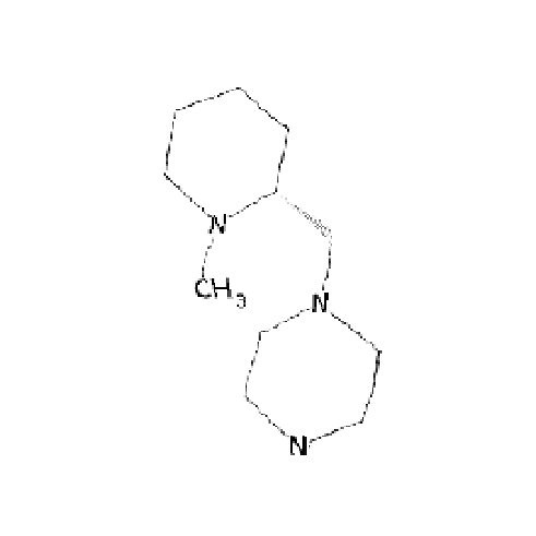 CN1CCCC[C@@H]1CN1CC[N]CC1